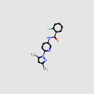 O=C(Nc1ccc(-n2nc(C(F)(F)F)cc2C(F)(F)F)nc1)c1ccccc1F